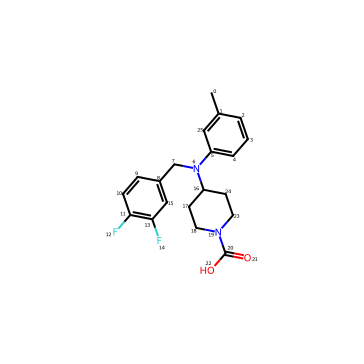 Cc1cccc(N(Cc2ccc(F)c(F)c2)C2CCN(C(=O)O)CC2)c1